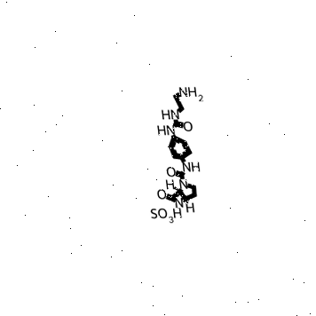 NCCNC(=O)Nc1ccc(NC(=O)N2CC[C@@H]3[C@@H]2C(=O)N3S(=O)(=O)O)cc1